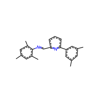 Cc1cc(C)cc(-c2cccc(C=Nc3c(C)cc(C)cc3C)n2)c1